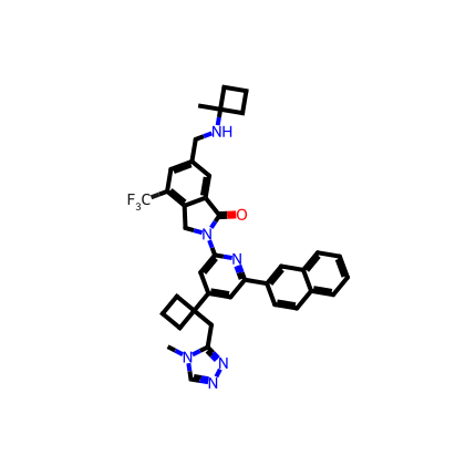 Cn1cnnc1CC1(c2cc(-c3ccc4ccccc4c3)nc(N3Cc4c(cc(CNC5(C)CCC5)cc4C(F)(F)F)C3=O)c2)CCC1